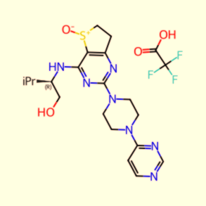 CC(C)[C@H](CO)Nc1nc(N2CCN(c3ccncn3)CC2)nc2c1[S+]([O-])CC2.O=C(O)C(F)(F)F